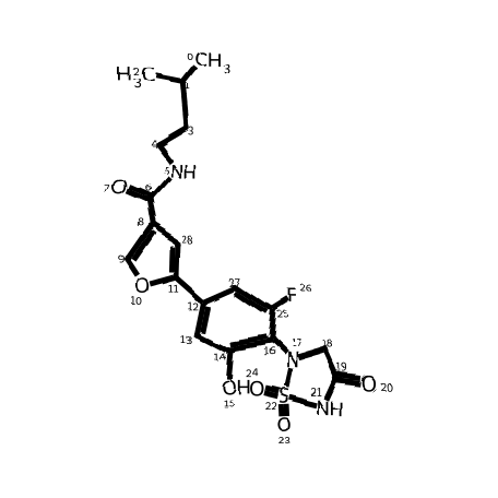 CC(C)CCNC(=O)c1coc(-c2cc(O)c(N3CC(=O)NS3(=O)=O)c(F)c2)c1